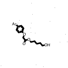 CC(=O)c1ccc(OCC(=O)OCCCCCO)cc1